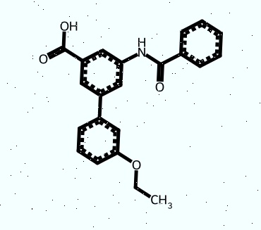 CCOc1cccc(-c2cc(NC(=O)c3ccccc3)cc(C(=O)O)c2)c1